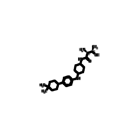 C[C@H](O)[C@@H](N)C(=O)NC1CCC(Nc2ccc(C3CCC(C)(C)CC3)cc2)CC1